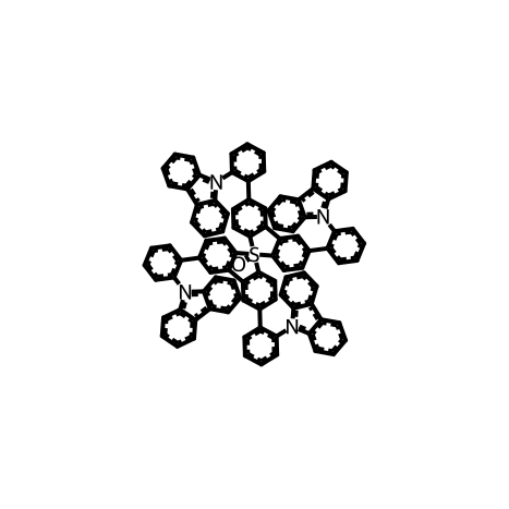 O=S12(c3ccc(-c4ccccc4-n4c5ccccc5c5ccccc54)cc3-c3cc(-c4ccccc4-n4c5ccccc5c5ccccc54)ccc31)c1ccc(-c3ccccc3-n3c4ccccc4c4ccccc43)cc1-c1cc(-c3ccccc3-n3c4ccccc4c4ccccc43)ccc12